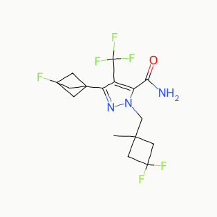 CC1(Cn2nc(C34CC(F)(C3)C4)c(C(F)(F)F)c2C(N)=O)CC(F)(F)C1